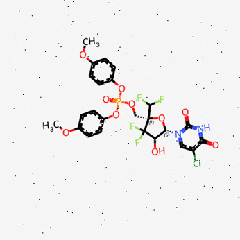 COc1ccc(OP(=O)(OC[C@]2(C(F)F)O[C@H](n3cc(Cl)c(=O)[nH]c3=O)C(O)C2(F)F)Oc2ccc(OC)cc2)cc1